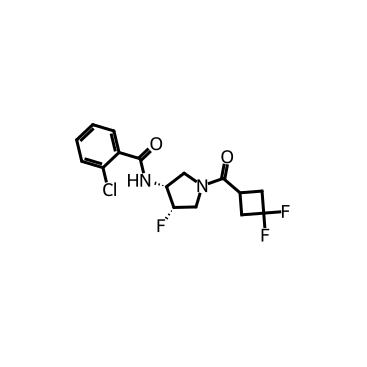 O=C(N[C@@H]1CN(C(=O)C2CC(F)(F)C2)C[C@@H]1F)c1ccccc1Cl